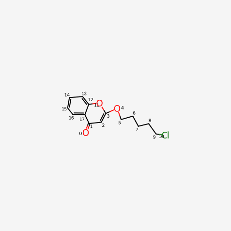 O=c1cc(OCCCCCCl)oc2ccccc12